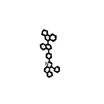 c1ccc(-c2cc(-c3ccc(-c4ccc(-c5cc6ccccc6c6ccccc56)c5ccccc45)cc3)nc3ccc4ccccc4c23)cc1